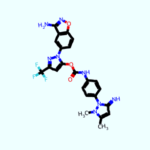 Cc1cc(=N)n(-c2ccc(NC(=O)Oc3cc(C(F)(F)F)nn3-c3ccc4onc(N)c4c3)cc2)n1C